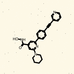 O=C(NO)c1cc(-c2ccc(C#Cc3cccnc3)cc2)nc(N2CCCCC2)c1